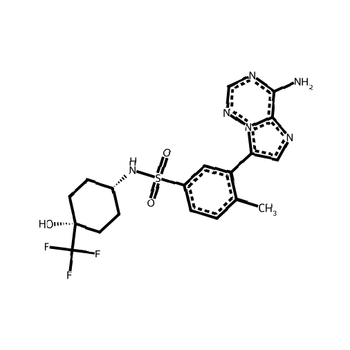 Cc1ccc(S(=O)(=O)N[C@H]2CC[C@](O)(C(F)(F)F)CC2)cc1-c1cnc2c(N)ncnn12